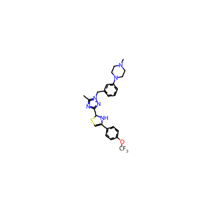 Cc1nc(C2NC(c3ccc(OC(F)(F)F)cc3)=CS2)nn1Cc1cccc(N2CCN(C)CC2)c1